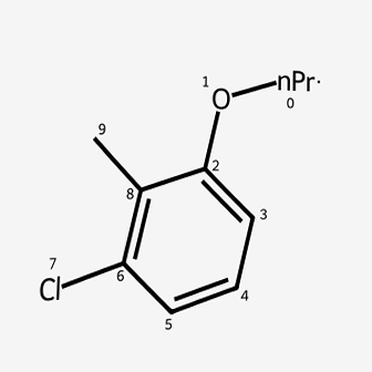 CC[CH]Oc1cccc(Cl)c1C